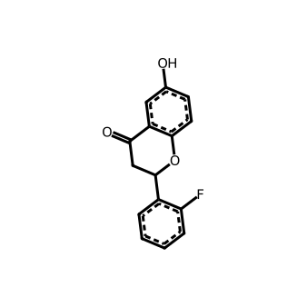 O=C1CC(c2ccccc2F)Oc2ccc(O)cc21